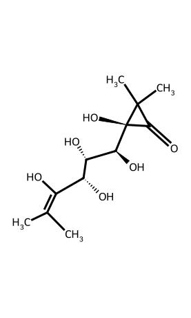 CC(C)=C(O)[C@@H](O)[C@H](O)[C@H](O)[C@@]1(O)C(=O)C1(C)C